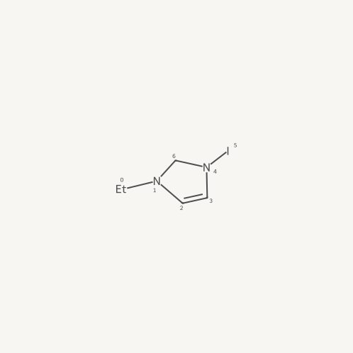 CCN1C=CN(I)C1